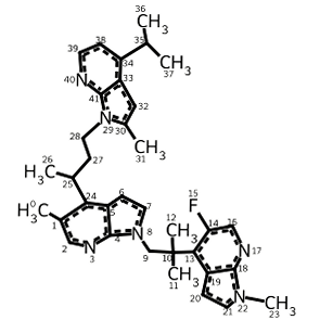 Cc1cnc2c(ccn2CC(C)(C)c2c(F)cnc3c2ccn3C)c1C(C)CCn1c(C)cc2c(C(C)C)ccnc21